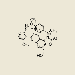 COc1cc2c(cc1-c1c(C)noc1C)nc(CO)c1oc(=O)n([C@H](C)c3ccc(OC(F)(F)F)cc3)c12